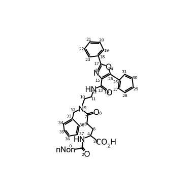 CCCCCCCCCC(=O)NC(CCC(=O)N(CCNC(=O)c1nc(-c2ccccc2)oc1-c1ccccc1)Cc1ccccc1)C(=O)O